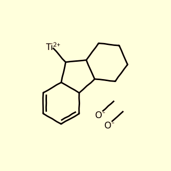 C[O-].C[O-].[Ti+2][CH]1C2C=CC=CC2C2CCCCC12